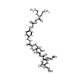 CCCN(CCC)C(=O)COC(=O)COc1ccc(CCC(=O)N2CCC3(CC2)CN/C(=N\C(=O)c2nc(Cl)c(NN=N)nc2NN=N)N3)cc1